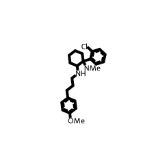 CNC1(c2ccccc2Cl)CCCCC1NCCCc1ccc(OC)cc1